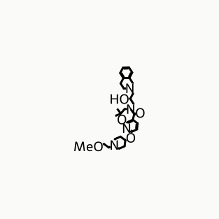 COCCN1CCC(Oc2ccc3c(n2)OC(C)(C)CN(C[C@H](O)CN2CCc4ccccc4C2)C3=O)CC1